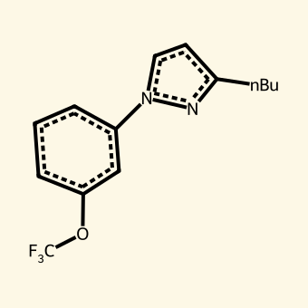 CCCCc1ccn(-c2cccc(OC(F)(F)F)c2)n1